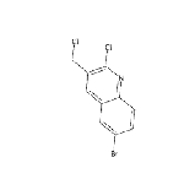 ClCc1cc2cc(Br)ccc2nc1Cl